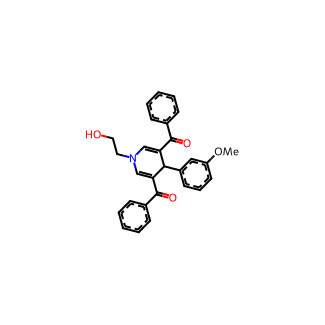 COc1cccc(C2C(C(=O)c3ccccc3)=CN(CCO)C=C2C(=O)c2ccccc2)c1